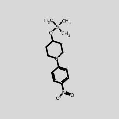 C[Si](C)(C)O[C]1[CH]CN(c2ccc([N+](=O)[O-])cc2)CC1